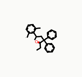 [CH2]c1cccc(C)c1C(C)CC(C(=O)CC)(c1ccccc1)c1ccccc1